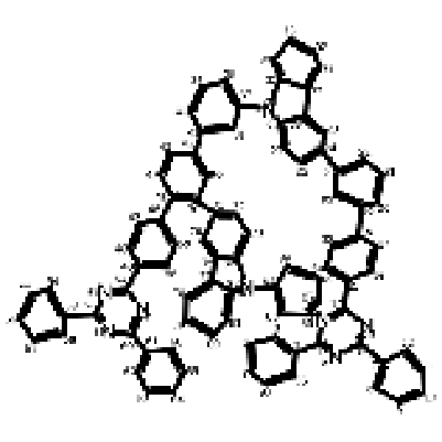 c1ccc(-c2nc(-c3ccccc3)nc(-c3ccc(-c4cccc(-c5ccc6c(c5)c5ccccc5n6-c5cccc(-c6ccc(-c7ccc(-c8nc(-c9ccccc9)nc(-c9ccccc9)n8)cc7)c(-c7ccc8c(c7)c7ccccc7n8-c7ccccc7)c6)c5)c4)cc3)n2)cc1